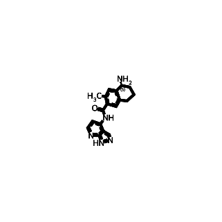 Cc1cc2c(cc1C(=O)Nc1ccnc3[nH]ncc13)CCC[C@@H]2N